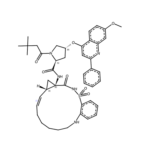 COc1ccc2c(O[C@@H]3C[C@@H](C(=O)N[C@]45C[C@H]4/C=C\CCCCCNc4ccccc4S(=O)(=O)NC5=O)N(C(=O)CC(C)(C)C)C3)cc(-c3ccccc3)nc2c1